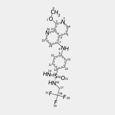 COc1nccc2c(Nc3ccc([S@](=N)(=O)NCC(F)(F)F)cc3)ccnc12